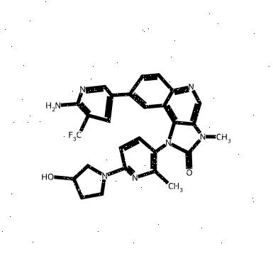 Cc1nc(N2CCC(O)C2)ccc1-n1c(=O)n(C)c2cnc3ccc(-c4cnc(N)c(C(F)(F)F)c4)cc3c21